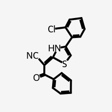 N#CC(C(=O)c1ccccc1)=C1NC(c2ccccc2Cl)=CS1